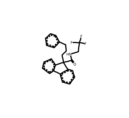 O=C(NCC(F)(F)F)C1(CCCc2ccccc2)c2ccccc2-c2ccccc21